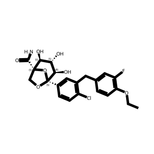 CCOc1ccc(Cc2cc([C@]34OC[C@](C(N)=O)(O3)[C@@H](O)[C@H](O)[C@H]4O)ccc2Cl)cc1F